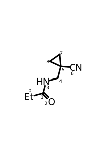 CCC(=O)NCC1(C#N)CC1